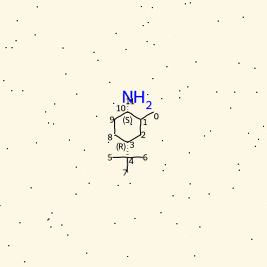 CC1C[C@H](C(C)(C)C)CC[C@@H]1N